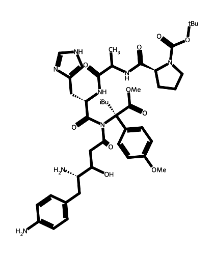 CCC(C)[C@](C(=O)OC)(c1ccc(OC)cc1)N(C(=O)CC(O)[C@@H](N)Cc1ccc(N)cc1)C(=O)[C@H](Cc1c[nH]cn1)NC(=O)C(C)NC(=O)[C@@H]1CCCN1C(=O)OC(C)(C)C